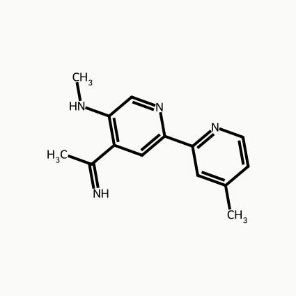 CNc1cnc(-c2cc(C)ccn2)cc1C(C)=N